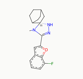 CN1C(c2cc3cccc(F)c3o2)=NN[C@]12CC1CCC2CC1